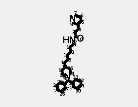 O=C(CCc1cccnc1)NCCCCCCC1CCN(C(c2ccccc2)c2ccccc2)CC1